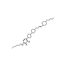 CCCCCCOc1ccc(C2CCC(C3CCC(CC/C=C/C4CCC(CCCCC)CC4)CC3)CC2)c(F)c1F